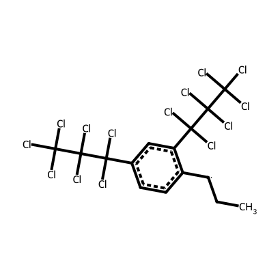 CC[CH]c1ccc(C(Cl)(Cl)C(Cl)(Cl)C(Cl)(Cl)Cl)cc1C(Cl)(Cl)C(Cl)(Cl)C(Cl)(Cl)Cl